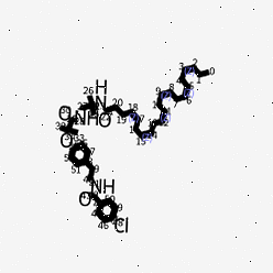 CC/C=C\C/C=C\C/C=C\C/C=C\C/C=C\C/C=C\CCC(=O)NC(C)(C)CNC(=O)C(C)(C)Oc1ccc(CCNC(=O)c2ccc(Cl)cc2)cc1